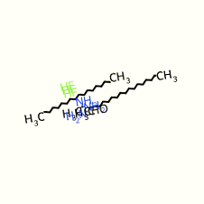 CC(N)N.CCCCCCCCCCCCCCCCC.CCCCCCCCCCCCCCCCCC.F.F.F.NC=O